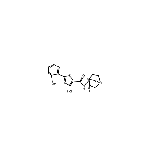 Cl.O=C(N[C@H]1CN2CCC1CC2)c1cnc(-c2ccccc2O)s1